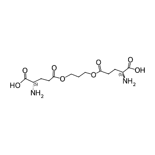 N[C@@H](CCC(=O)OCCCOC(=O)CC[C@H](N)C(=O)O)C(=O)O